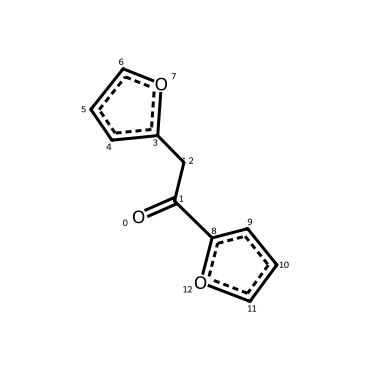 O=C([CH]c1ccco1)c1ccco1